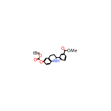 COC(=O)c1cccc(C2CCc3cc(OC(=O)OC(C)(C)C)ccc3N2)c1